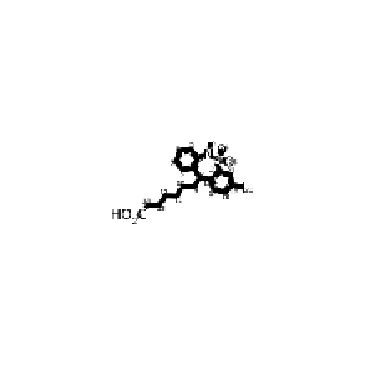 CN1c2ccccc2C(CCCCCCC(=O)O)c2ccc(I)cc2S1(=O)=O